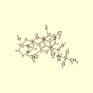 CS(=O)(=O)NC(=O)c1cc(C2CC2)c(CN2[C@@H]3CC[C@H]2CC(Oc2cc(C(F)(F)F)cc(Cl)c2F)C3)cc1F